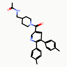 CC(=O)NCC1CCN(C(=O)c2cnc(-c3ccc(C)cc3)c(-c3ccc(C)cc3)c2)CC1